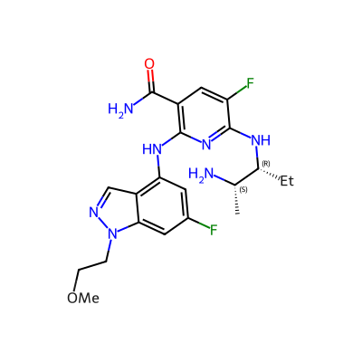 CC[C@@H](Nc1nc(Nc2cc(F)cc3c2cnn3CCOC)c(C(N)=O)cc1F)[C@H](C)N